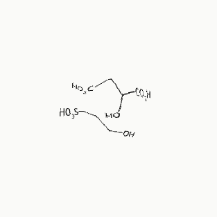 O=C(O)CC(O)C(=O)O.O=S(=O)(O)CCO